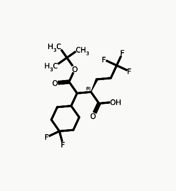 CC(C)(C)OC(=O)C(C1CCC(F)(F)CC1)[C@@H](CCC(F)(F)F)C(=O)O